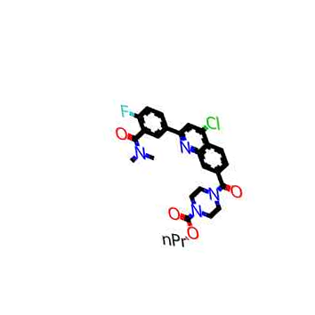 CCCOC(=O)N1CCN(C(=O)c2ccc3c(Cl)cc(-c4ccc(F)c(C(=O)N(C)C)c4)nc3c2)CC1